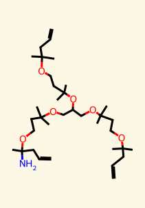 C=CCC(C)(C)OCCC(C)(C)OCC(COC(C)(C)CCOC(C)(N)CC=C)OC(C)(C)CCOC(C)(C)CC=C